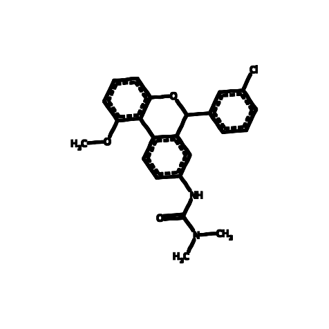 COc1cccc2c1-c1ccc(NC(=O)N(C)C)cc1C(c1cccc(Cl)c1)O2